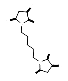 O=C1CC(=S)C(=O)N1CCCCCN1C(=O)CC(=S)C1=O